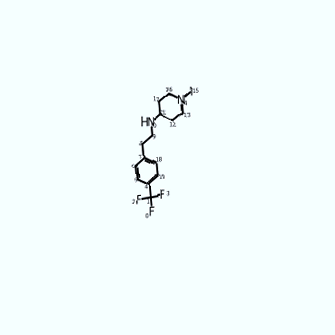 FC(F)(F)c1ccc(CCNC2CCN(I)CC2)cc1